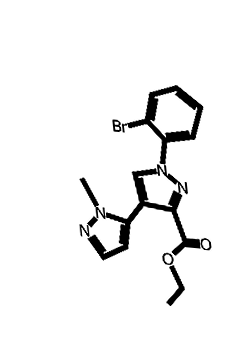 CCOC(=O)c1nn(-c2ccccc2Br)cc1-c1ccnn1C